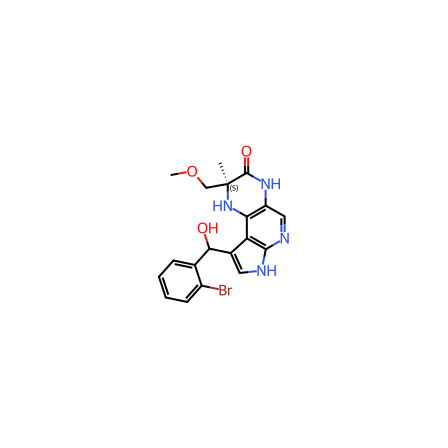 COC[C@]1(C)Nc2c(cnc3[nH]cc(C(O)c4ccccc4Br)c23)NC1=O